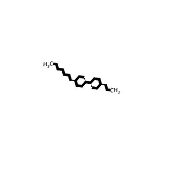 CCCCCCC[C@H]1CC[C@H]([C@H]2CC[C@H](CCC)CC2)CC1